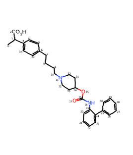 CC(C(=O)O)c1ccc(CCCCN2CCC(OC(=O)Nc3ccccc3-c3ccccc3)CC2)cc1